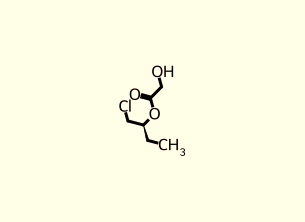 CC[C@@H](CCl)OC(=O)CO